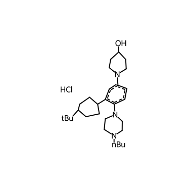 CCCCN1CCN(c2ccc(N3CCC(O)CC3)cc2C2CCC(C(C)(C)C)CC2)CC1.Cl